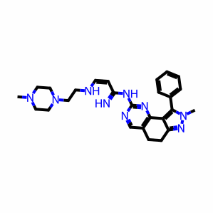 CN1CCN(CCN/C=C\C(=N)Nc2ncc3c(n2)-c2c(nn(C)c2-c2ccccc2)CC3)CC1